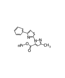 CCCOC(=O)c1cc(C)nn1-c1nc(-c2ccccc2)cs1